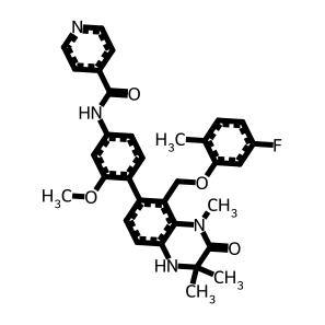 COc1cc(NC(=O)c2ccncc2)ccc1-c1ccc2c(c1COc1cc(F)ccc1C)N(C)C(=O)C(C)(C)N2